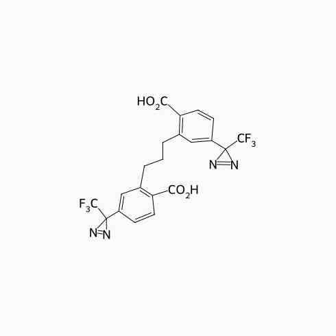 O=C(O)c1ccc(C2(C(F)(F)F)N=N2)cc1CCCc1cc(C2(C(F)(F)F)N=N2)ccc1C(=O)O